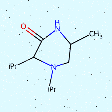 CC1CN(C(C)C)C(C(C)C)C(=O)N1